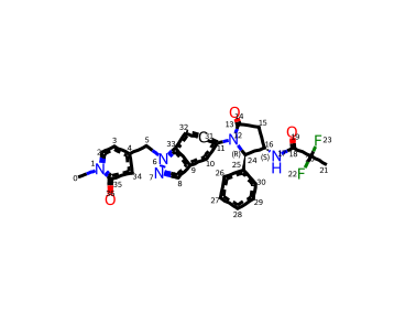 Cn1ccc(Cn2ncc3cc(N4C(=O)C[C@H](NC(=O)C(C)(F)F)[C@H]4c4ccccc4)ccc32)cc1=O